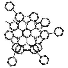 Cc1ccc(-c2c(-n3c4ccccc4c4cc(-c5ccccc5)ccc43)c(-c3nc4ccccc4s3)c(-n3c4ccccc4c4cc(-c5ccccc5)ccc43)c(-n3c4ccccc4c4cc(-c5ccccc5)ccc43)c2-n2c3ccccc3c3cc(-c4ccccc4)ccc32)c(C)n1